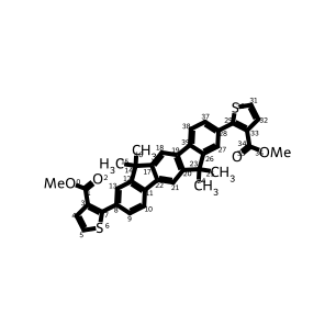 COC(=O)c1ccsc1-c1ccc2c(c1)C(C)(C)c1cc3c(cc1-2)C(C)(C)c1cc(-c2sccc2C(=O)OC)ccc1-3